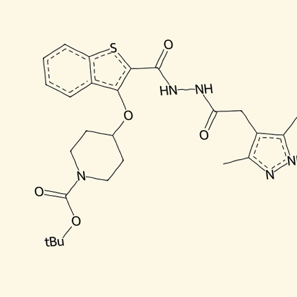 Cc1n[nH]c(C)c1CC(=O)NNC(=O)c1sc2ccccc2c1OC1CCN(C(=O)OC(C)(C)C)CC1